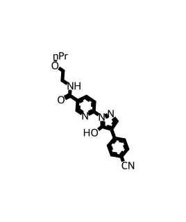 CCCOCCNC(=O)c1ccc(-n2ncc(-c3ccc(C#N)cc3)c2O)nc1